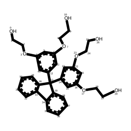 OCCOc1cc(OCCO)cc(C2(c3cc(OCCO)cc(OCCO)c3)c3ccccc3-c3ccccc32)c1